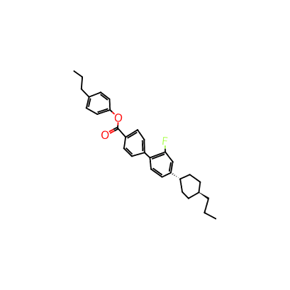 CCCc1ccc(OC(=O)c2ccc(-c3ccc([C@H]4CC[C@H](CCC)CC4)cc3F)cc2)cc1